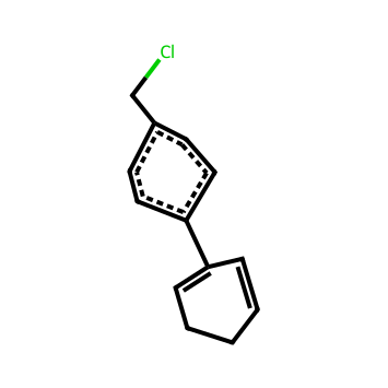 ClCc1ccc(C2=CCCC=C2)cc1